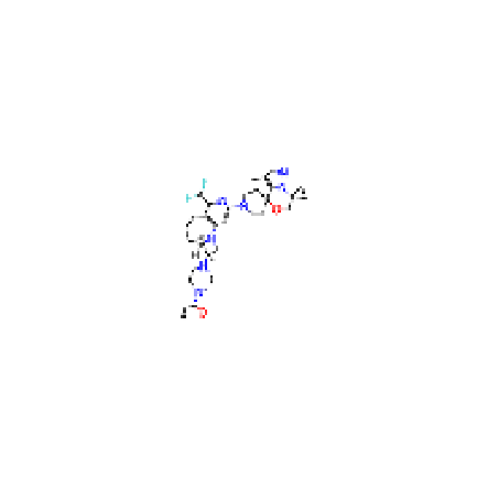 C=CC(=O)N1CCN([C@@H]2CN3c4cc(N5CCC6(CC5)OCC5(CC5)n5ncc(C)c56)nc(C(F)F)c4CCC[C@@H]23)CC1